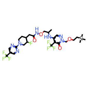 CC(CONC(=O)CC1CCN(c2ncc(C(F)(F)F)cn2)CC1F)Nc1cnn(COCC[Si](C)(C)C)c(=O)c1C(F)(F)F